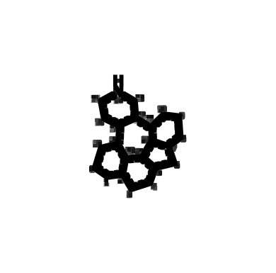 c1cc2ccc3cc4cccc5c6c[nH]ccc6c(c1)c2c3c45